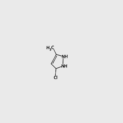 CC1=CC(Cl)NN1